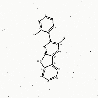 Cc1ccccc1-c1cc2sc3ccccc3c2cc1C